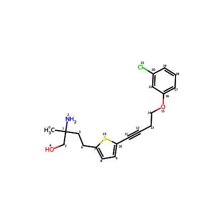 CC(N)(CO)CCc1ccc(C#CCCOc2cccc(Cl)c2)s1